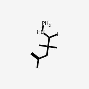 C=C(C)CC(C)(C)C(I)BP